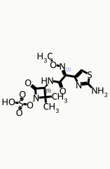 CO/N=C(\C(=O)N[C@@H]1C(=O)N(OS(=O)(=O)O)C1(C)C)c1csc(N)n1